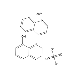 O=S(=O)([O-])[O-].Oc1cccc2cccnc12.[Zn+2].c1ccc2ncccc2c1